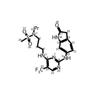 CC(C)N(CCCNc1nc(Nc2ccc3c(c2)NC(=O)C3)ncc1C(F)(F)F)S(C)(=O)=O